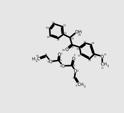 C=COC(=O)OC(=O)OC=C.COc1ccc(C(=O)C(O)c2ccccc2)cc1